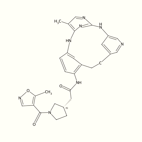 Cc1cnc2nc1Nc1ccc(NC(=O)C[C@@H]3CCN(C(=O)c4cnoc4C)C3)c(c1)CCc1cncc(c1)N2